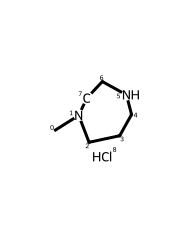 CN1CCCNCC1.Cl